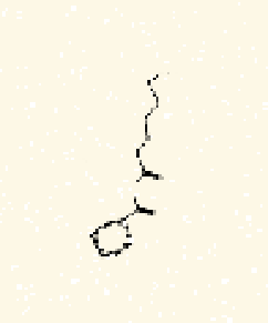 CCCCCCCCCCCCCCCC(=O)OC(=O)c1ccccc1.[Ag].[Ag]